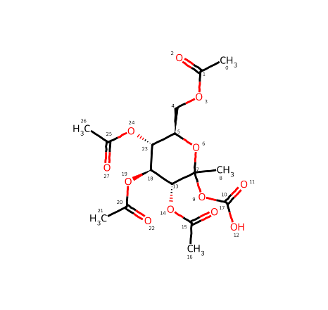 CC(=O)OC[C@H]1OC(C)(OC(=O)O)[C@H](OC(C)=O)[C@@H](OC(C)=O)[C@@H]1OC(C)=O